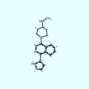 CNC1CCN(c2nnc(-c3ccn[nH]3)c3ccccc23)CC1